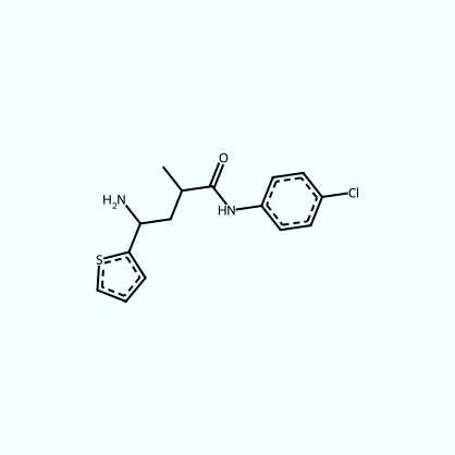 CC(CC(N)c1cccs1)C(=O)Nc1ccc(Cl)cc1